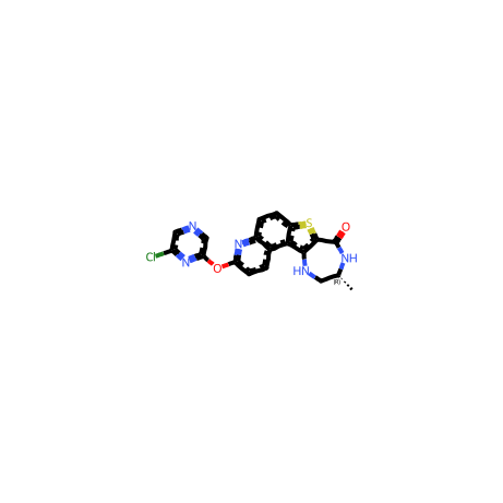 C[C@@H]1CNc2c(sc3ccc4nc(Oc5cncc(Cl)n5)ccc4c23)C(=O)N1